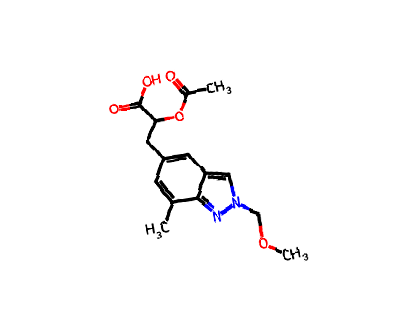 COCn1cc2cc(CC(OC(C)=O)C(=O)O)cc(C)c2n1